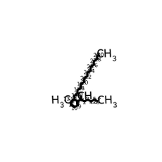 C=C(CCCCCC)c1cccc(C)c1CCCCCCCCCCCCCCCC